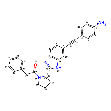 Nc1ccc(C#Cc2ccc3nc([C@@H]4CCCN4C(=O)Cc4ccccc4)[nH]c3c2)cc1